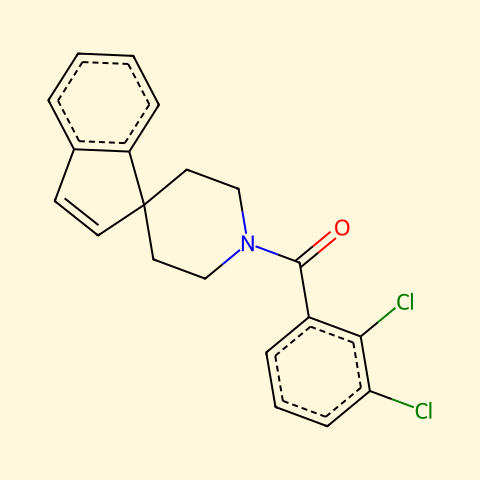 O=C(c1cccc(Cl)c1Cl)N1CCC2(C=Cc3ccccc32)CC1